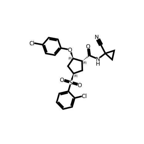 N#CC1(NC(=O)[C@@H]2C[C@@H](S(=O)(=O)c3ccccc3Cl)C[C@H]2Oc2ccc(Cl)cc2)CC1